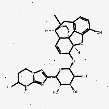 CN1CC[C@]23c4c5ccc(O)c4O[C@H]2C(O[C@@H]2OC(c4nc6n(n4)CCC(O)N6)[C@@H](O)[C@H](O)C2O)C=CC3[C@H]1C5